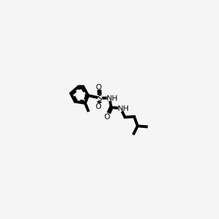 Cc1ccccc1S(=O)(=O)NC(=O)NCCC(C)C